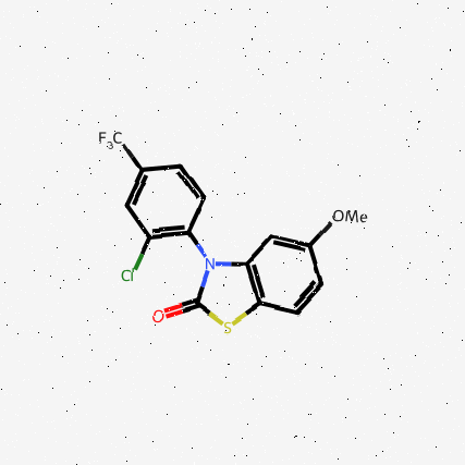 COc1ccc2sc(=O)n(-c3ccc(C(F)(F)F)cc3Cl)c2c1